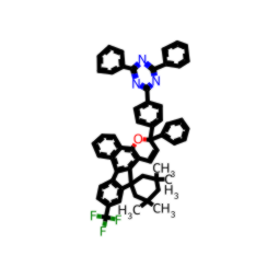 CC1(C)CC(C)(C)CC2(C1)c1cc(C(F)(F)F)ccc1-c1c2c2c(c3ccccc13)OC(c1ccccc1)(c1ccc(-c3nc(-c4ccccc4)nc(-c4ccccc4)n3)cc1)C=C2